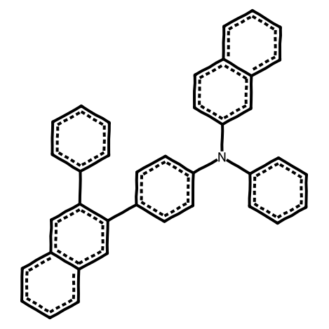 c1ccc(-c2cc3ccccc3cc2-c2ccc(N(c3ccccc3)c3ccc4ccccc4c3)cc2)cc1